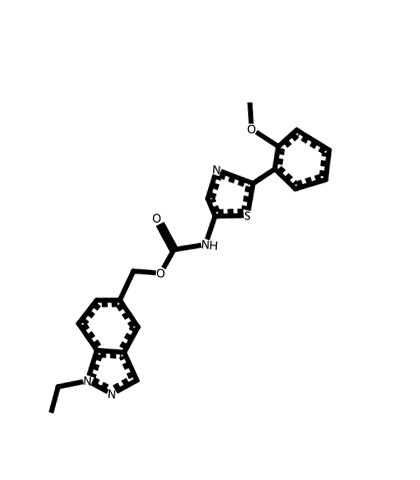 CCn1ncc2cc(COC(=O)Nc3cnc(-c4ccccc4OC)s3)ccc21